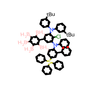 Bc1c(B)c(B)c(-c2cc(N(c3cccc(C(C)(C)C)c3)c3cccc(C(C)(C)C)c3)c(Cl)c(N(c3ccccc3)c3ccc(S(c4ccccc4)(c4ccccc4)c4ccccc4)cc3-c3ccccc3)c2)c(B)c1B